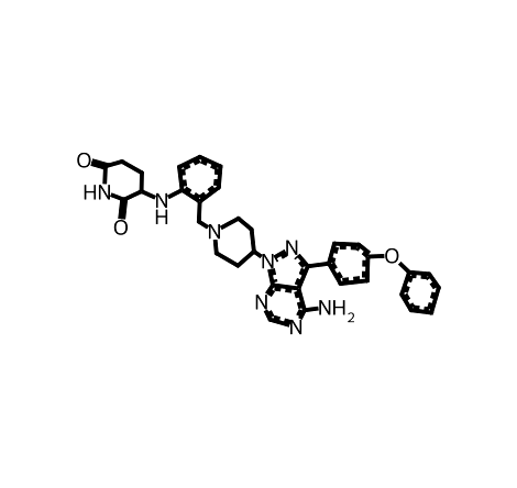 Nc1ncnc2c1c(-c1ccc(Oc3ccccc3)cc1)nn2C1CCN(Cc2ccccc2NC2CCC(=O)NC2=O)CC1